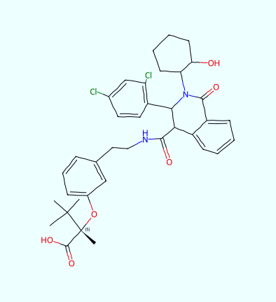 CC(C)(C)[C@](C)(Oc1cccc(CCNC(=O)C2c3ccccc3C(=O)N(C3CCCCC3O)C2c2ccc(Cl)cc2Cl)c1)C(=O)O